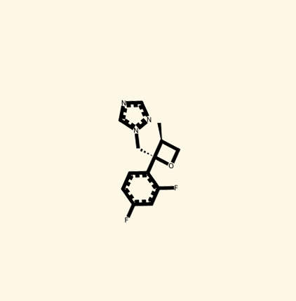 C[C@H]1CO[C@@]1(Cn1cncn1)c1ccc(F)cc1F